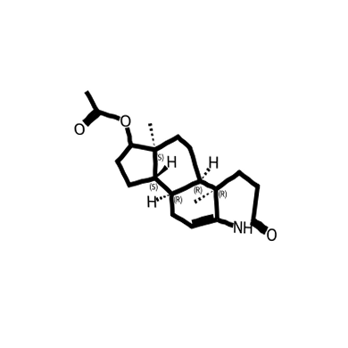 CC(=O)OC1CC[C@H]2[C@@H]3CC=C4NC(=O)CC[C@]4(C)[C@@H]3CC[C@]12C